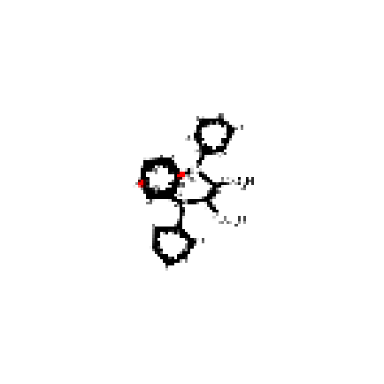 O=C(O)/C(=C(\C(=O)O)P(c1ccccc1)c1ccccc1)P(c1ccccc1)c1ccccc1